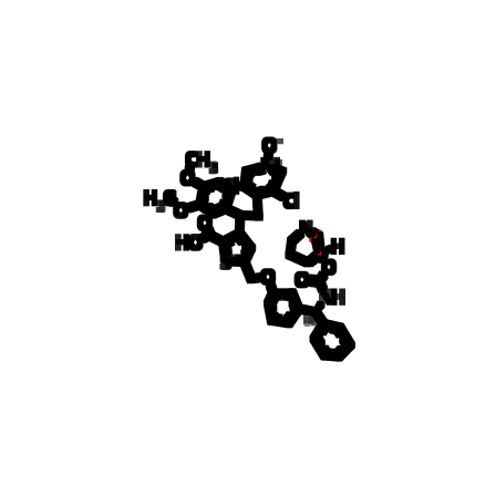 COc1ccc(C(Cc2c(Cl)c[n+]([O-])cc2Cl)c2cc(COc3cccc([C@@H](NC(=O)O[C@H]4CN5CCC4CC5)c4ccccc4)c3)sc2C(=O)O)cc1OC